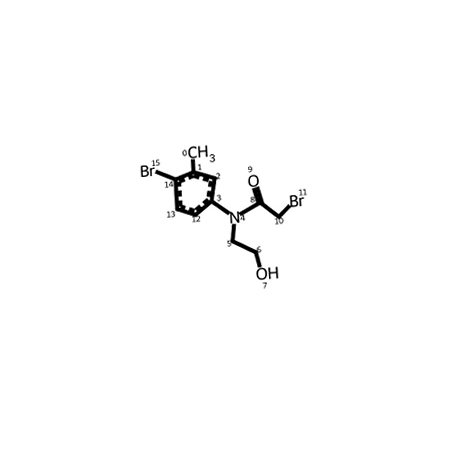 Cc1cc(N(CCO)C(=O)CBr)ccc1Br